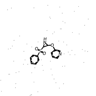 O=S(=O)(c1ccccc1)C1NC1Oc1cccnc1